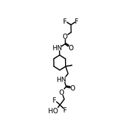 CC1(CNC(=O)OCC(O)(F)F)CCCC(NC(=O)OCC(F)F)C1